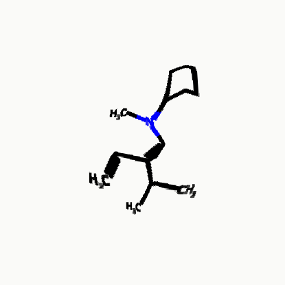 C=C/C(=C\N(C)C1CCC1)C(C)C